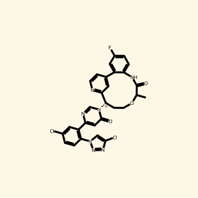 CC1OCC[C@H](n2cnc(-c3cc(Cl)ccc3-n3cc(Cl)nn3)cc2=O)c2cc(ccn2)-c2cc(F)ccc2NC1=O